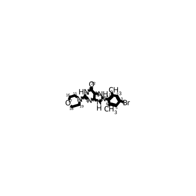 Cc1cc(Br)cc(C)c1N1NC2N=C(N3CCOCC3)NC(=O)C2N1